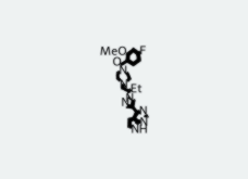 CCC(CN1CCN(C(=O)c2ccc(F)cc2OC)CC1)n1cc(-c2ncnc3[nH]ccc23)cn1